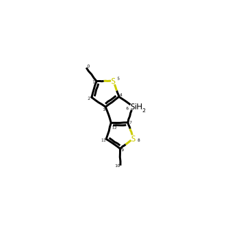 Cc1cc2c(s1)[SiH2]c1sc(C)cc1-2